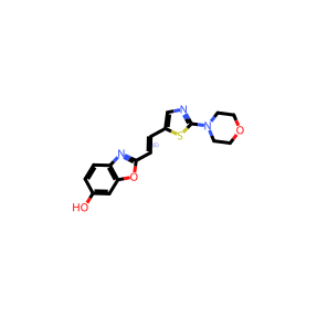 Oc1ccc2nc(/C=C/c3cnc(N4CCOCC4)s3)oc2c1